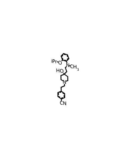 CC(C)Oc1ccccc1N(C)CCC1(O)CCN(CCc2ccc(C#N)cc2)CC1